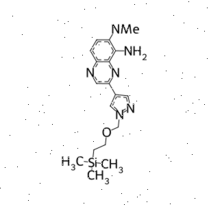 CNc1ccc2ncc(-c3cnn(COCC[Si](C)(C)C)c3)nc2c1N